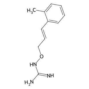 Cc1ccccc1C=CCONC(=N)N